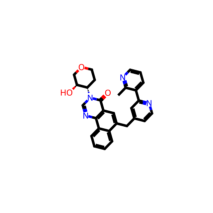 Cc1ncccc1-c1cc(Cc2cc3c(=O)n([C@H]4CCOC[C@@H]4O)cnc3c3ccccc23)ccn1